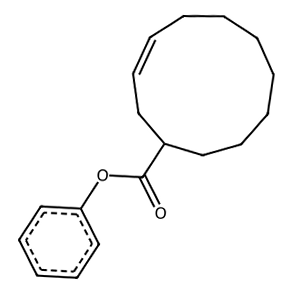 O=C(Oc1ccccc1)C1CC=CCCCCCCC1